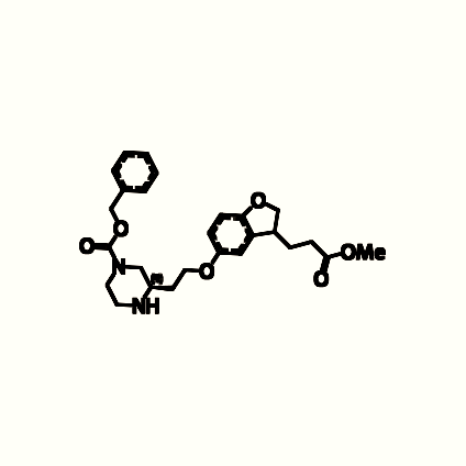 COC(=O)CCC1COc2ccc(OCC[C@@H]3CN(C(=O)OCc4ccccc4)CCN3)cc21